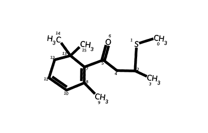 CSC(C)CC(=O)C1=C(C)C=CCC1(C)C